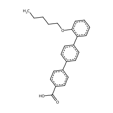 CCCCCOc1ccccc1-c1ccc(-c2ccc(C(=O)O)cc2)cc1